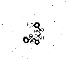 O=C(CNC(=O)c1cccc(C(F)(F)F)c1)NC1CCCC1CS(=O)(=O)c1ccccc1